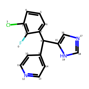 Fc1c(Cl)cccc1C(c1ccncc1)c1cnc[nH]1